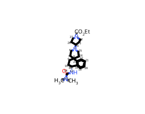 CCOC(=O)N1CCC(N2CCC3(CC[C@@H](NC(=O)N(C)C)c4ccccc43)CC2)CC1